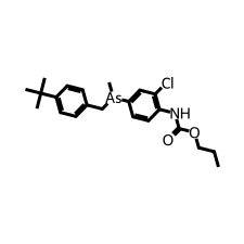 CCCOC(=O)Nc1ccc([As](C)Cc2ccc(C(C)(C)C)cc2)cc1Cl